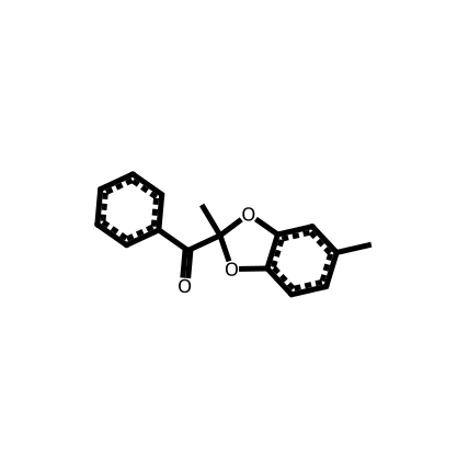 Cc1ccc2c(c1)OC(C)(C(=O)c1ccccc1)O2